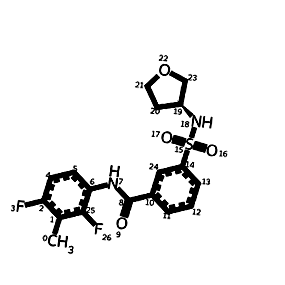 Cc1c(F)ccc(NC(=O)c2cccc(S(=O)(=O)N[C@H]3CCOC3)c2)c1F